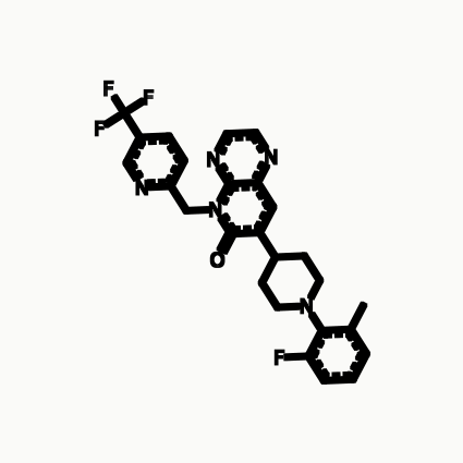 Cc1cccc(F)c1N1CCC(c2cc3nccnc3n(Cc3ccc(C(F)(F)F)cn3)c2=O)CC1